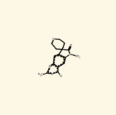 Cc1nc(Cl)c2cc3c(cc2n1)C1(CCOCC1)C(=O)N3C